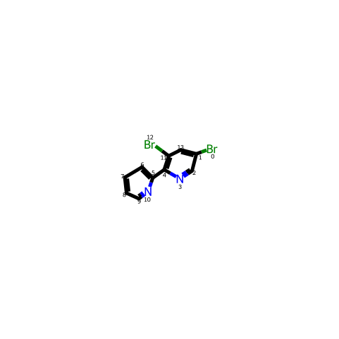 Brc1cnc(-c2ccccn2)c(Br)c1